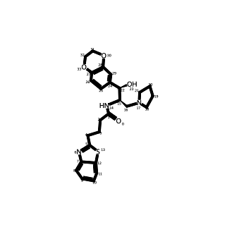 O=C(CCCc1nc2ccccc2s1)N[C@H](CN1CCCC1)[C@H](O)c1ccc2c(c1)OCCO2